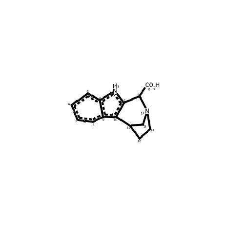 O=C(O)C1c2[nH]c3ccccc3c2C2CCN1C2